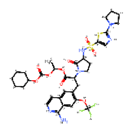 CC(OC(=O)OC1CCCCC1)OC(=O)C(Cc1cc2ccnc(N)c2cc1OC(F)(F)F)N1CCC(NS(=O)(=O)c2cnc(N3CCCC3)s2)C1=O